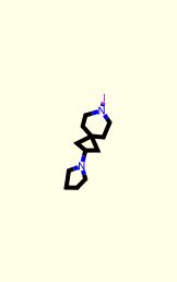 IN1CCC2(CC1)CC(N1CCCC1)C2